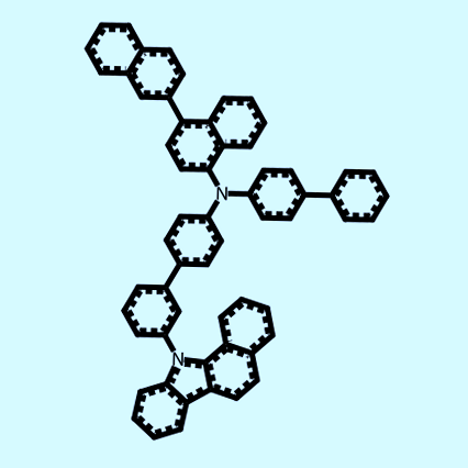 c1ccc(-c2ccc(N(c3ccc(-c4cccc(-n5c6ccccc6c6ccc7ccccc7c65)c4)cc3)c3ccc(-c4ccc5ccccc5c4)c4ccccc34)cc2)cc1